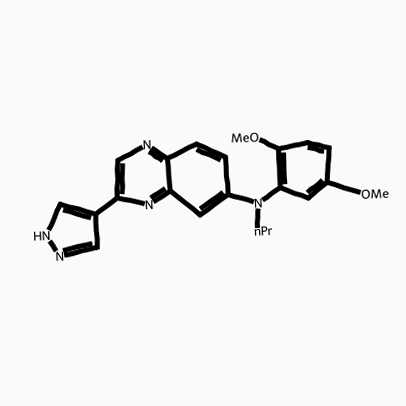 CCCN(c1ccc2ncc(-c3cn[nH]c3)nc2c1)c1cc(OC)ccc1OC